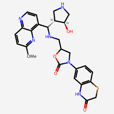 COc1ccc2nccc(C(NCC3CN(c4ccc5c(c4)NC(=O)CS5)C(=O)O3)[C@@H]3CNC[C@H]3O)c2n1